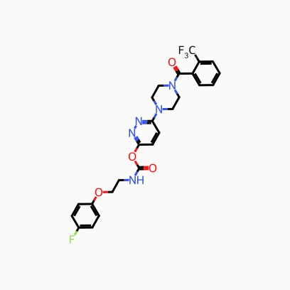 O=C(NCCOc1ccc(F)cc1)Oc1ccc(N2CCN(C(=O)c3ccccc3C(F)(F)F)CC2)nn1